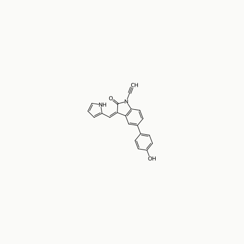 C#CN1C(=O)/C(=C\c2ccc[nH]2)c2cc(-c3ccc(O)cc3)ccc21